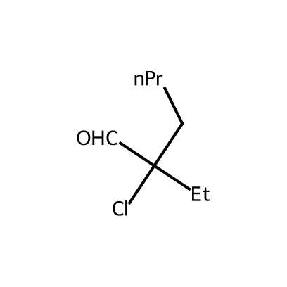 CCCCC(Cl)(C=O)CC